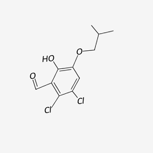 CC(C)COc1cc(Cl)c(Cl)c(C=O)c1O